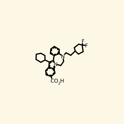 O=C(O)c1ccc2c(C3CCCCC3)c3n(c2c1)CCN(CCC1CCC(F)(F)CC1)c1ccccc1-3